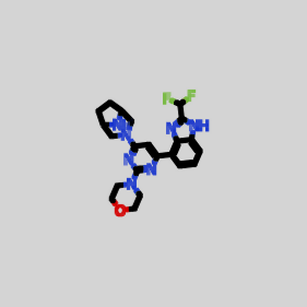 FC(F)c1nc2c(-c3cc(N4CC5CCC(C4)N5)nc(N4CCOCC4)n3)cccc2[nH]1